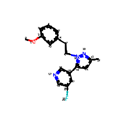 COc1cccc(CCn2nc(C)cc2-c2cncc(F)c2)c1